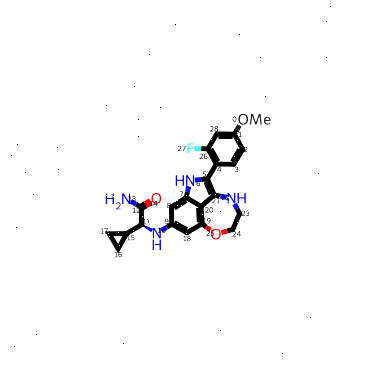 COc1ccc(-c2[nH]c3cc(N[C@H](C(N)=O)C4CC4)cc4c3c2NCCO4)c(F)c1